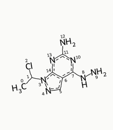 CC(Cl)n1ncc2c(NN)nc(N)nc21